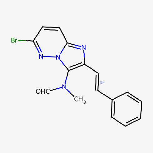 CN(C=O)c1c(/C=C/c2ccccc2)nc2ccc(Br)nn12